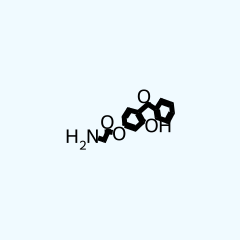 NCC(=O)Oc1ccc(C(=O)c2ccccc2)c(O)c1